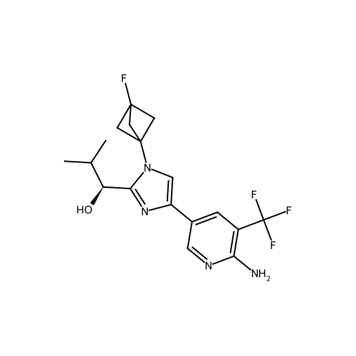 CC(C)[C@H](O)c1nc(-c2cnc(N)c(C(F)(F)F)c2)cn1C12CC(F)(C1)C2